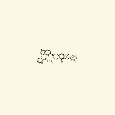 COc1ncccc1-c1cnn2ccc(N3CCc4c(ccn(CC(C)(C)C)c4=O)C3)nc12